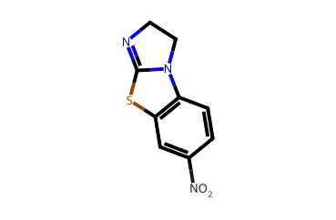 O=[N+]([O-])c1ccc2c(c1)SC1=NCCN12